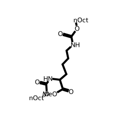 CCCCCCCCOC(=O)NCCCCC(NC(=O)OCCCCCCCC)C(=O)OC